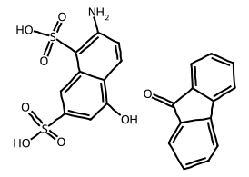 Nc1ccc2c(O)cc(S(=O)(=O)O)cc2c1S(=O)(=O)O.O=C1c2ccccc2-c2ccccc21